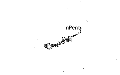 CCCCC/C=C\C/C=C\CCCCCCCCSCCNC(=O)OCCSCCCCCCCC/C=C\C/C=C\CCCCC